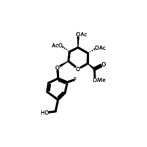 COC(=O)[C@H]1O[C@@H](Oc2ccc(CO)cc2F)[C@H](OC(C)=O)[C@@H](OC(C)=O)[C@@H]1OC(C)=O